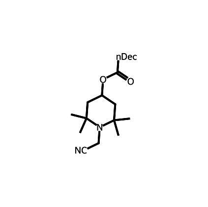 CCCCCCCCCCC(=O)OC1CC(C)(C)N(CC#N)C(C)(C)C1